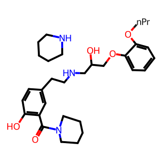 C1CCNCC1.CCCOc1ccccc1OCC(O)CNCCc1ccc(O)c(C(=O)N2CCCCC2)c1